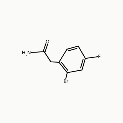 NC(=O)Cc1ccc(F)cc1Br